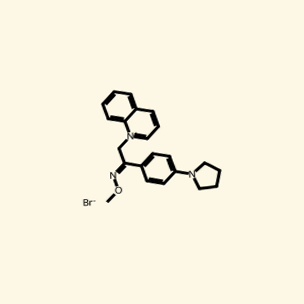 CO/N=C(/C[n+]1cccc2ccccc21)c1ccc(N2CCCC2)cc1.[Br-]